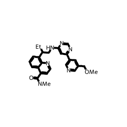 CCC(CNc1cc(-c2cncc(COC)c2)ncn1)c1cccc2c(C(=O)NC)ccnc12